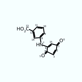 O=C1C=CC(=O)C(Nc2cccc(C(=O)O)c2)=C1